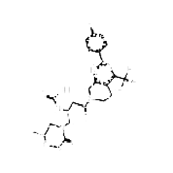 C[C@H]1CN(C[C@H](CC(O)N2CCc3c(nc(-c4ccc(F)cc4)nc3C(F)(F)F)C2)NC(=O)O)C(=O)CO1